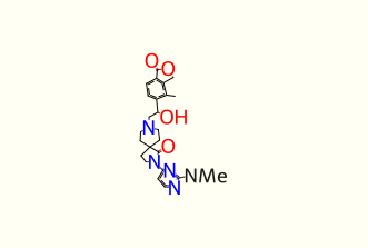 CNc1nccc(N2CCC3(CCN(CC(O)c4ccc5c(c4C)COC5=O)CC3)C2=O)n1